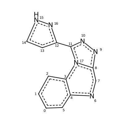 c1ccc2c(c1)ncc1nnc(-c3cc[nH]n3)n12